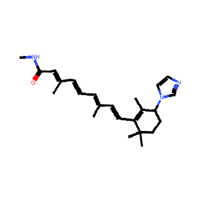 CNC(=O)/C=C(C)/C=C/C=C(C)/C=C/C1=C(C)C(n2ccnc2)CCC1(C)C